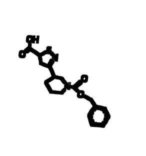 O=C(O)C1CC(C2CCCN(C(=O)OCc3ccccc3)C2)=NS1